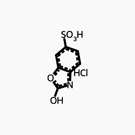 Cl.O=S(=O)(O)c1ccc2nc(O)oc2c1